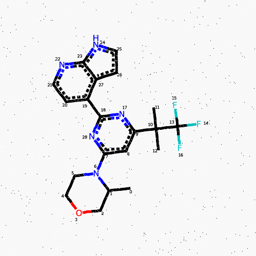 CC1COCCN1c1cc(C(C)(C)C(F)(F)F)nc(-c2ccnc3[nH]ccc23)n1